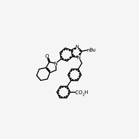 CCCCc1nc2ccc(N3CC4=C(CCCC4)C3=O)cc2n1Cc1ccc(-c2ccccc2C(=O)O)cc1